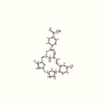 Cc1cc(C[C@@H](CNc2ccc(C(=O)O)cc2)NC(=O)/C=C/c2cc(Cl)ccc2-n2cnnn2)n(C)n1